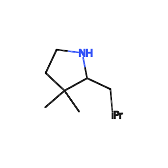 CC(C)CC1NCCC1(C)C